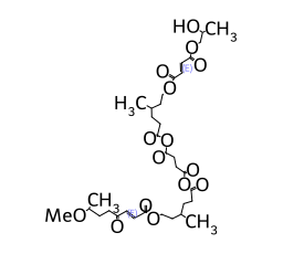 COC(C)CCC(=O)/C=C/C(=O)OCCC(C)CCC(=O)OC(=O)CCC(=O)OC(=O)CCC(C)CCOC(=O)/C=C/C(=O)OCC(C)O